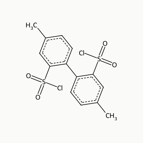 Cc1ccc(-c2ccc(C)cc2S(=O)(=O)Cl)c(S(=O)(=O)Cl)c1